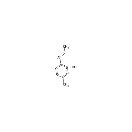 C[CH2][Al][c]1ccc(C)cc1.[HH]